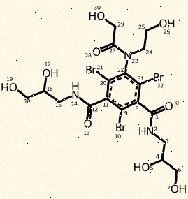 O=C(NCC(O)CO)c1c(Br)c(C(=O)NCC(O)CO)c(Br)c(N(CCO)C(=O)CO)c1Br